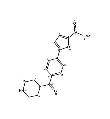 COC(=O)c1ccc(-c2ccc(C(=O)N3CCNCC3)cc2)o1